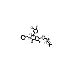 CC(C)(C)OC(=O)NC1CCN(c2cc3c(cc2F)c(=O)n(OCc2ccccc2)c(=O)n3-c2ccc(F)c(Cl)c2)C1